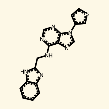 c1ccc2[nH]c(CNc3ncnc4c3ncn4-c3ccsc3)nc2c1